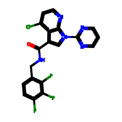 O=C(NCc1ccc(F)c(F)c1F)c1cn(-c2ncccn2)c2nccc(Cl)c12